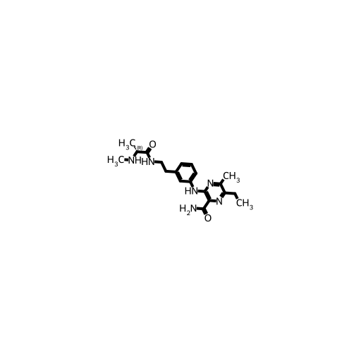 CCc1nc(C(N)=O)c(Nc2cccc(CCNC(=O)[C@@H](C)NC)c2)nc1C